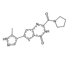 Cc1[nH]ncc1-c1cc2nc(C(=O)N3CCCC3)[nH]c(=O)c2s1